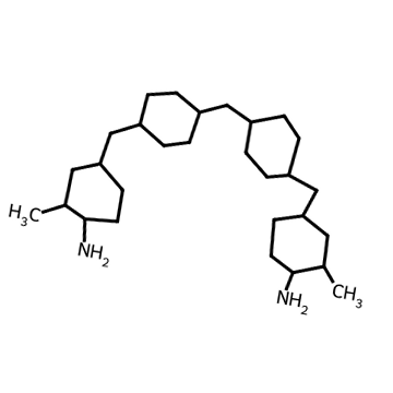 CC1CC(CC2CCC(CC3CCC(CC4CCC(N)C(C)C4)CC3)CC2)CCC1N